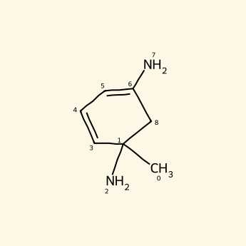 CC1(N)C=CC=C(N)C1